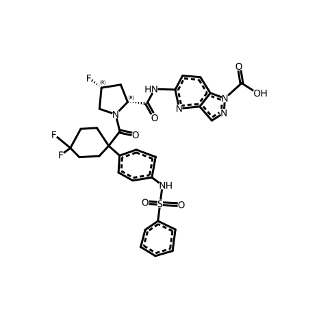 O=C(Nc1ccc2c(cnn2C(=O)O)n1)[C@H]1C[C@@H](F)CN1C(=O)C1(c2ccc(NS(=O)(=O)c3ccccc3)cc2)CCC(F)(F)CC1